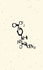 CC(C)(C)OC(=O)NNC1CCN(C(=O)C(F)(F)F)CC1